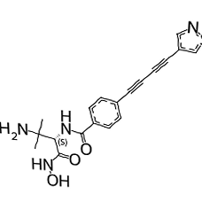 CC(C)(N)[C@H](NC(=O)c1ccc(C#CC#Cc2cnsc2)cc1)C(=O)NO